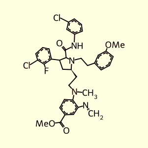 C=Nc1cc(C(=O)OC)ccc1N(C)CC[C@H]1CC(c2cccc(Cl)c2F)C(C(=O)Nc2cccc(Cl)c2)N1CCc1cccc(OC)c1